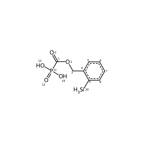 O=C(OCc1ccccc1[SiH3])P(=O)(O)O